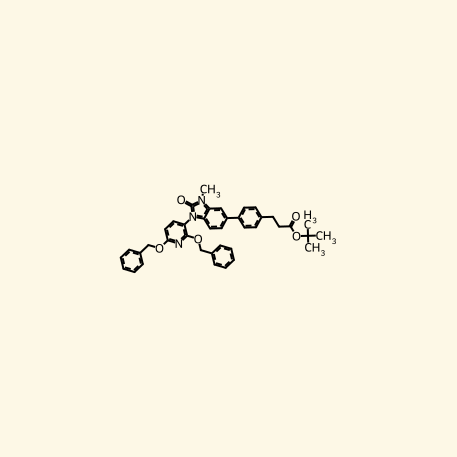 Cn1c(=O)n(-c2ccc(OCc3ccccc3)nc2OCc2ccccc2)c2ccc(-c3ccc(CCC(=O)OC(C)(C)C)cc3)cc21